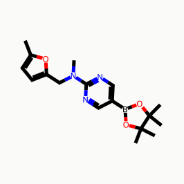 Cc1ccc(CN(C)c2ncc(B3OC(C)(C)C(C)(C)O3)cn2)o1